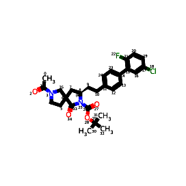 CC(=O)N1CCC2(C[C@@H](CCc3ccc(-c4cc(Cl)ccc4F)cc3)N(C(=O)OC(C)(C)C)C2=O)C1